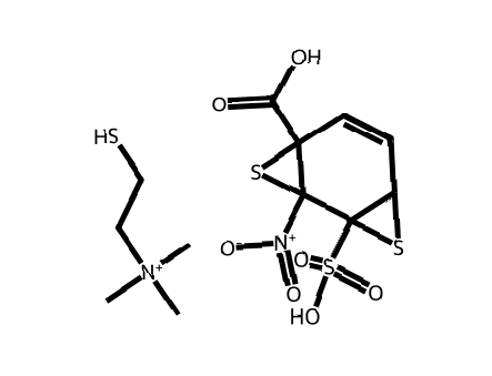 C[N+](C)(C)CCS.O=C(O)C12C=CC3SC3(S(=O)(=O)O)C1([N+](=O)[O-])S2